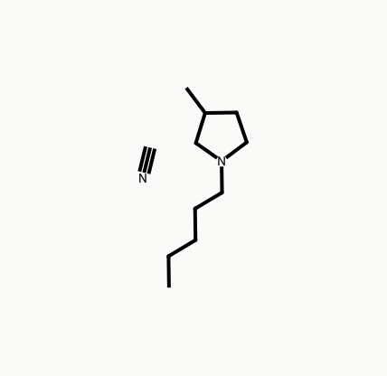 C#N.CCCCCN1CCC(C)C1